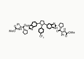 COC(=O)N[C@H](C(=O)N1CCC[C@H]1c1nc2cc(C3CCC(c4ccc5[nH]c([C@@H]6CCCN6C(=O)[C@@H](NC(=O)OC)C(C)C)nc5c4)N3c3ccc(C(F)(F)F)cc3)ccc2[nH]1)C(C)C